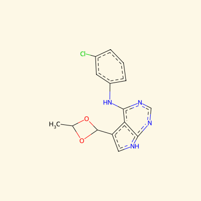 CC1OC(c2c[nH]c3ncnc(Nc4cccc(Cl)c4)c23)O1